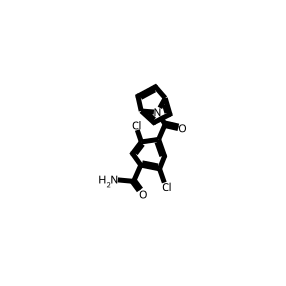 NC(=O)c1cc(Cl)c(C(=O)n2c3ccc2cc3)cc1Cl